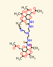 CC(=O)OC[C@H]1O[C@@H](NC(=S)NCCN(CCN=C=S)CCNC(=S)N[C@@H]2O[C@H](COC(C)=O)[C@@H](OC(C)=O)[C@H](OC(C)=O)[C@@H]2OC(C)=O)[C@@H](OC(C)=O)[C@@H](OC(C)=O)[C@@H]1OC(C)=O